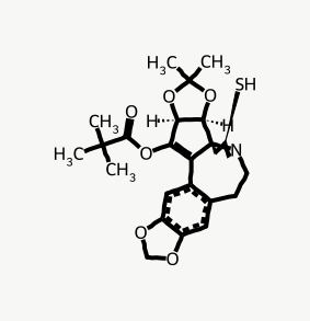 CC1(C)O[C@@H]2C(OC(=O)C(C)(C)C)=C3c4cc5c(cc4CCN4C[C@H](S)C[C@]34[C@@H]2O1)OCO5